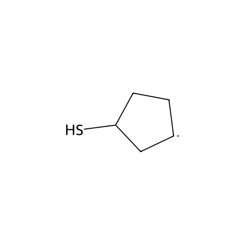 SC1C[CH]CC1